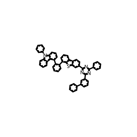 c1ccc(-c2cccc(-c3nc(-c4ccccc4)nc(-c4ccc5c(c4)sc4c(-c6ccccc6-c6cccc7c6c6ccccc6n7-c6ccccc6)cccc45)n3)c2)cc1